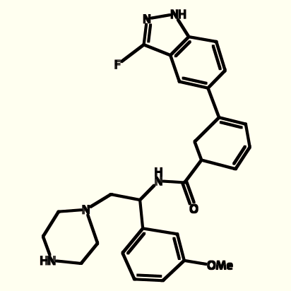 COc1cccc(C(CN2CCNCC2)NC(=O)C2C=CC=C(c3ccc4[nH]nc(F)c4c3)C2)c1